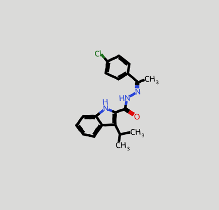 CC(=NNC(=O)c1[nH]c2ccccc2c1C(C)C)c1ccc(Cl)cc1